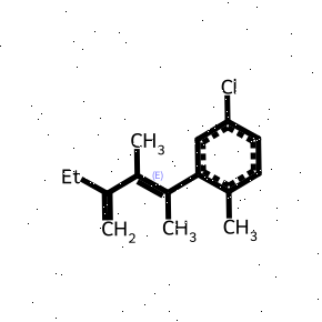 C=C(CC)/C(C)=C(\C)c1cc(Cl)ccc1C